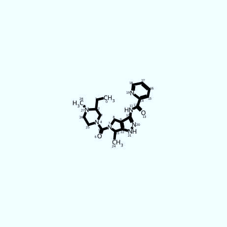 CCC1CN(C(=O)N2Cc3c(NC(=O)c4ccccn4)n[nH]c3C2C)CCN1C